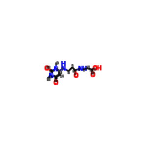 Cn1c(NCCC(=O)NCCC(=O)O)cc(=O)n(C)c1=O